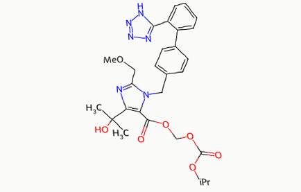 COCc1nc(C(C)(C)O)c(C(=O)OCOC(=O)OC(C)C)n1Cc1ccc(-c2ccccc2-c2nnn[nH]2)cc1